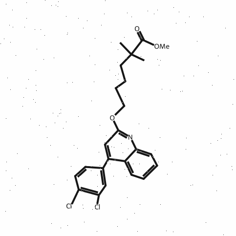 COC(=O)C(C)(C)CCCCOc1cc(-c2ccc(Cl)c(Cl)c2)c2ccccc2n1